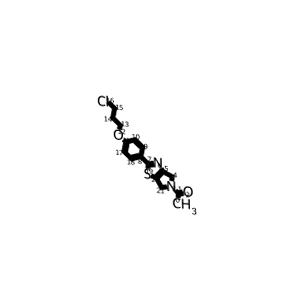 CC(=O)N1Cc2nc(-c3ccc(OCCCCl)cc3)sc2C1